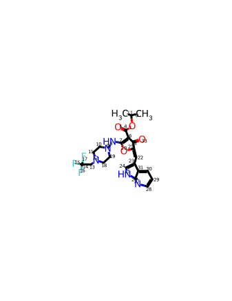 CC(C)OC(=O)C1=C(NN2CCN(CC(F)(F)F)CC2)O/C(=C\c2c[nH]c3ncccc23)C1=O